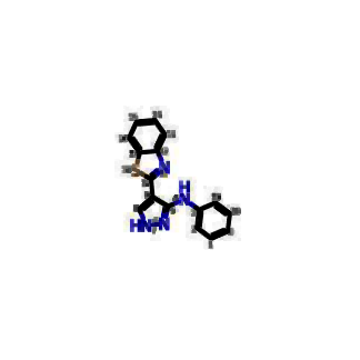 c1ccc(Nc2n[nH]cc2-c2nc3ccccc3s2)cc1